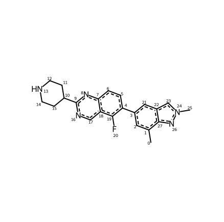 Cc1cc(-c2ccc3nc(C4CCNCC4)ncc3c2F)cc2cn(C)nc12